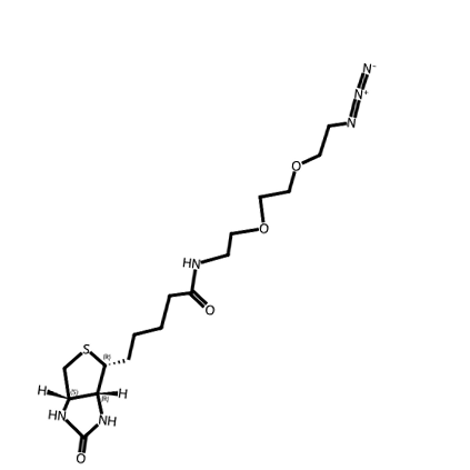 [N-]=[N+]=NCCOCCOCCNC(=O)CCCC[C@H]1SC[C@H]2NC(=O)N[C@H]21